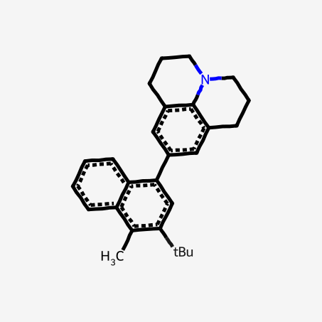 Cc1c(C(C)(C)C)cc(-c2cc3c4c(c2)CCCN4CCC3)c2ccccc12